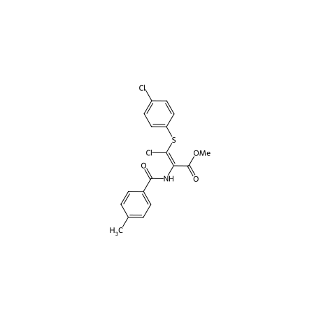 COC(=O)C(NC(=O)c1ccc(C)cc1)=C(Cl)Sc1ccc(Cl)cc1